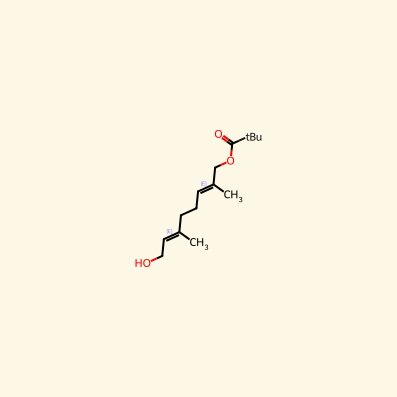 C/C(=C\CO)CC/C=C(\C)COC(=O)C(C)(C)C